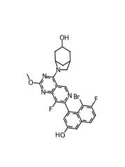 COc1nc(N2CC3CC(O)CC2C3)c2cnc(-c3cc(O)cc4ccc(F)c(Br)c34)c(F)c2n1